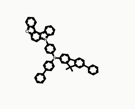 CC1(C)c2cc(-c3ccccc3)ccc2-c2ccc(N(c3ccc(-c4ccccc4)cc3)c3ccc(-n4c5ccccc5c5c6c(ccc54)oc4ccccc46)cc3)cc21